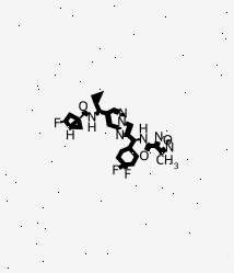 Cc1nonc1C(=O)N[C@H](c1cn2ncc(C(NC(=O)[C@@]34C[C@@H]3[C@@H](F)C4)C3CC3)cc2n1)C1CCC(F)(F)CC1